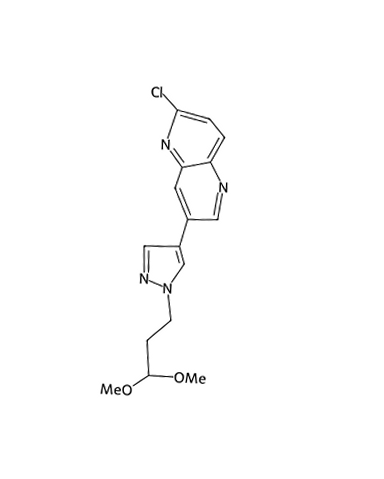 COC(CCn1cc(-c2cnc3ccc(Cl)nc3c2)cn1)OC